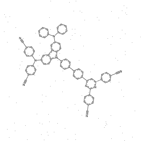 N#Cc1ccc(-c2cc(-c3ccc(-c4ccc(-n5c6ccc(N(c7ccccc7)c7ccccc7)cc6c6cc(N(c7ccc(C#N)cc7)c7ccc(C#N)cc7)ccc65)cc4)cc3)nc(-c3ccc(C#N)cc3)n2)cc1